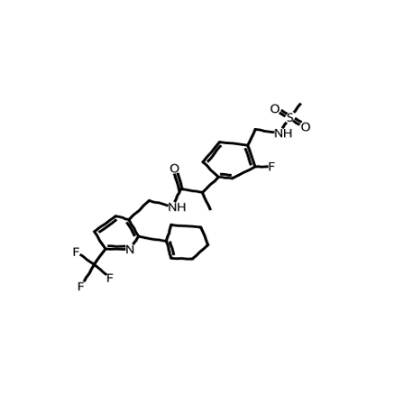 CC(C(=O)NCc1ccc(C(F)(F)F)nc1C1=CCCCC1)c1ccc(CNS(C)(=O)=O)c(F)c1